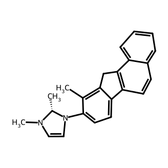 Cc1c(N2C=CN(C)[C@@H]2C)ccc2c1Cc1c-2ccc2ccccc12